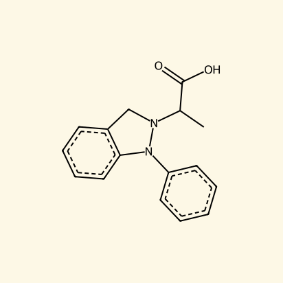 CC(C(=O)O)N1Cc2ccccc2N1c1ccccc1